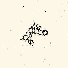 CCOC(=O)CN(Cc1cc(C)nc(-n2ccnc2)n1)C(=O)NCC(Cc1ccccc1)C1=COCO1